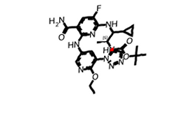 CCOc1ncc(Nc2nc(NC(C3CC3)[C@H](C)NC(=O)OC(C)(C)C)c(F)cc2C(N)=O)cc1-n1ccnn1